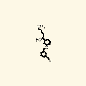 CCCCCC(O)c1cccc(OCc2cccc(C#N)c2)c1